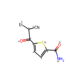 CCC(C#N)C(=O)c1ccc(C(N)=O)s1